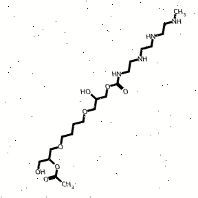 CNCCNCCNCCNC(=O)OCC(O)COCCCCOCC(CO)OC(C)=O